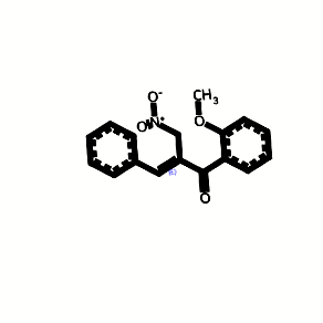 COc1ccccc1C(=O)/C(=C/c1ccccc1)C[N+](=O)[O-]